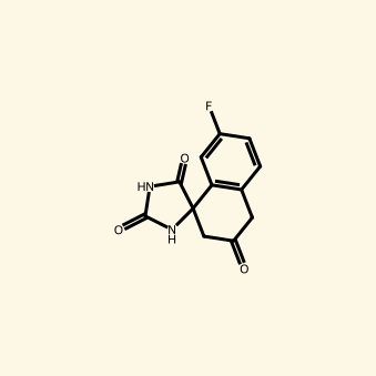 O=C1Cc2ccc(F)cc2C2(C1)NC(=O)NC2=O